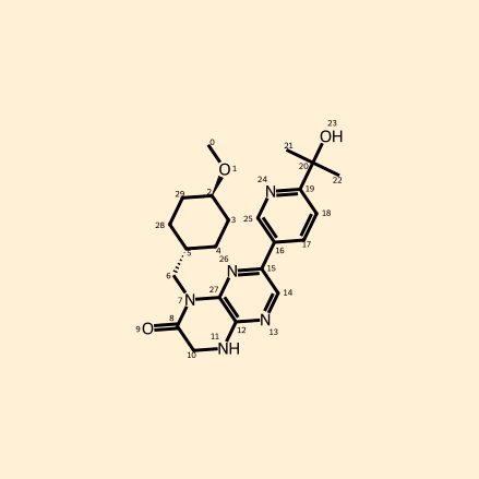 CO[C@H]1CC[C@H](CN2C(=O)CNc3ncc(-c4ccc(C(C)(C)O)nc4)nc32)CC1